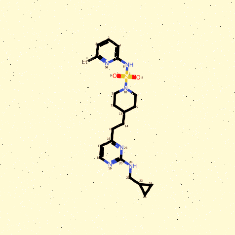 CCc1cccc(NS(=O)(=O)N2CCC(CCc3ccnc(NCC4CC4)n3)CC2)n1